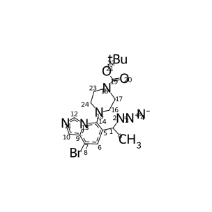 CC(N=[N+]=[N-])c1cc(Br)c2cncn2c1N1CCN(C(=O)OC(C)(C)C)CC1